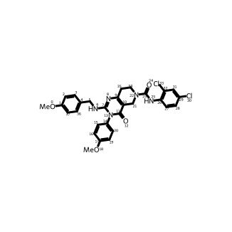 COc1ccc(CNc2nc3c(c(=O)n2-c2ccc(OC)cc2)CN(C(=O)Nc2ccc(Cl)cc2Cl)CC3)cc1